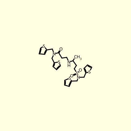 CC(CCS(=O)(=O)N(Cc1cccs1)Cc1cccs1)NCCC(=O)N(Cc1cccs1)Cc1cccs1